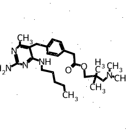 CCCCCNc1nc(N)nc(C)c1Cc1ccc(CC(=O)OCC(C)(C)CN(C)C)cc1